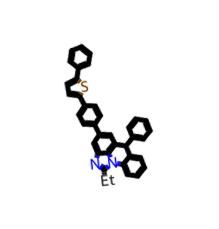 CCc1nc2cc(-c3ccc(-c4ccc(-c5ccccc5)s4)cc3)cc3c2n1-c1ccccc1C3c1ccccc1